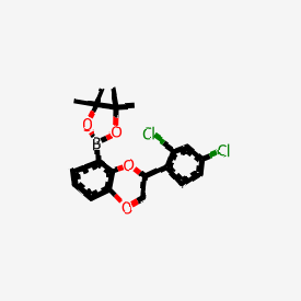 CC1(C)OB(c2cccc3c2OC(c2ccc(Cl)cc2Cl)CO3)OC1(C)C